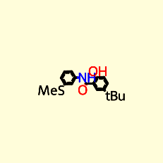 CSc1cccc(NC(=O)c2cc(C(C)(C)C)ccc2O)c1